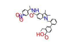 CCc1cc(-c2ccccc2Cn2c(C)c(C)c3cc(C(=O)NC(C)c4ccc([N+](=O)[O-])cc4)ccc32)ccc1C(=O)O